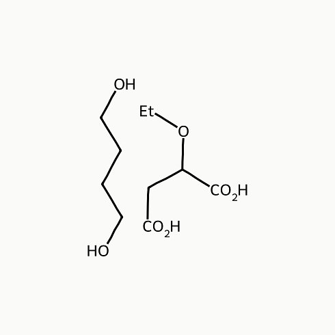 CCOC(CC(=O)O)C(=O)O.OCCCCO